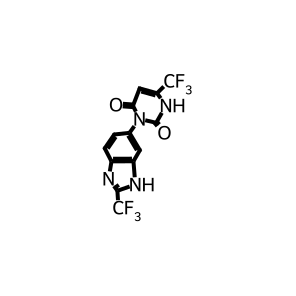 O=c1cc(C(F)(F)F)[nH]c(=O)n1-c1ccc2nc(C(F)(F)F)[nH]c2c1